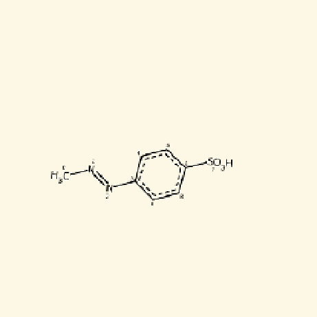 CN=Nc1ccc(S(=O)(=O)O)cc1